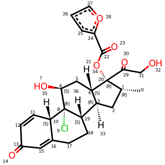 C[C@@H]1C[C@@H]2[C@H](C[C@H](O)[C@]3(Cl)[C@H]4C=CC(=O)C=C4CC[C@@H]23)[C@@]1(OC(=O)c1ccco1)C(=O)CO